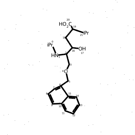 CC(C)NC(COCc1cccc2ccccc12)C(O)CC(C(=O)O)C(C)C